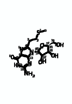 CSCCc1nc2c(=O)[nH]c(N)nc2n1[C@@H]1O[C@H](CO)C(O)C1O